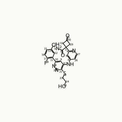 NC(=O)C1(c2cc(Nc3cc(-c4cc(Cl)ccc4F)nnc3SCCO)ccn2)CC(=O)C1